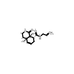 C=CCNC(=O)[C@@H]1CC=C[C@@H]2CCOC(=O)[C@@H]21